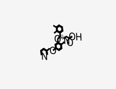 Cc1cccc([C@H](CCC(=O)O)Oc2cc(OCc3cccnc3)ccc2C#N)c1C